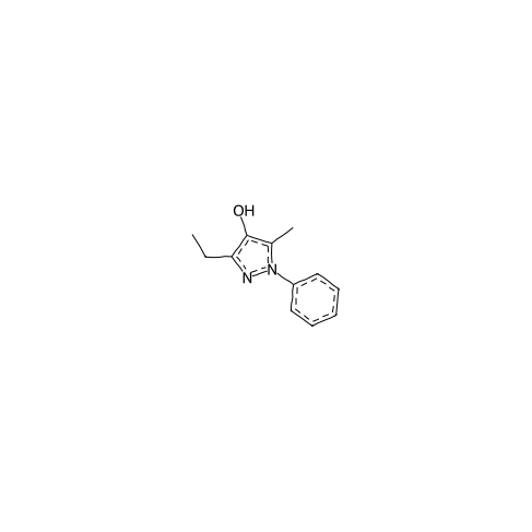 CCc1nn(-c2ccccc2)c(C)c1O